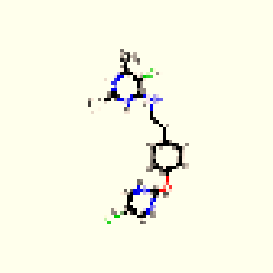 Cc1nc(C)c(Cl)c(NCCc2ccc(Oc3ncc(Cl)cn3)cc2)n1